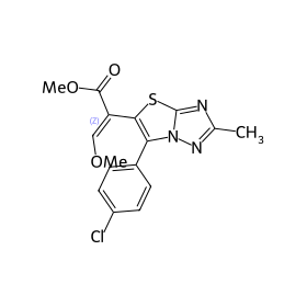 CO/C=C(/C(=O)OC)c1sc2nc(C)nn2c1-c1ccc(Cl)cc1